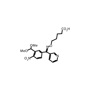 COC(OC)c1cc(C(=NOCCCCC(=O)O)c2cccnc2)ccc1[N+](=O)[O-]